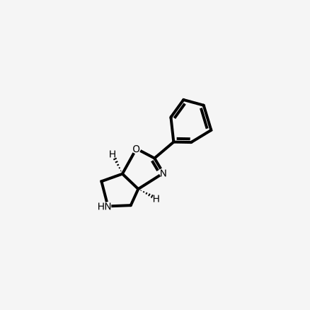 c1ccc(C2=N[C@H]3CNC[C@H]3O2)cc1